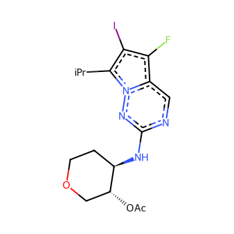 CC(=O)O[C@@H]1COCC[C@H]1Nc1ncc2c(F)c(I)c(C(C)C)n2n1